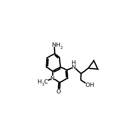 Cn1c(=O)cc(NC(CO)C2CC2)c2cc(N)ccc21